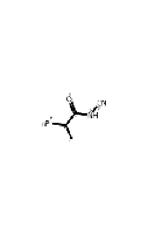 CCCC(C)C(=O)NC#N